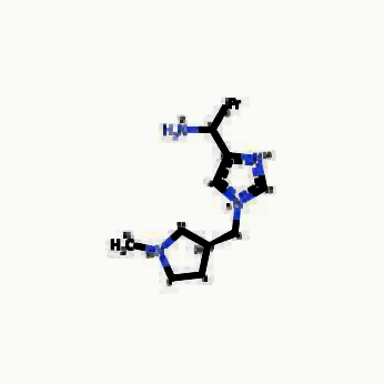 CC(C)C(N)c1cn(C[C@H]2CCN(C)C2)cn1